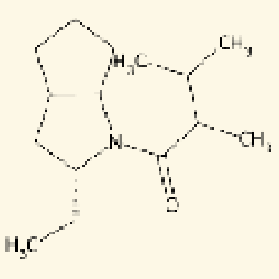 CC[C@@H]1CC2CCCC2N1C(=O)C(C)C(C)C